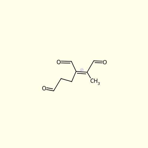 C/C(C=O)=C(/C=O)CCC=O